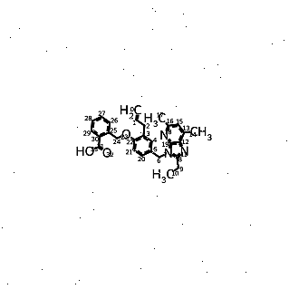 C=CCc1cc(Cn2c(CC)nc3c(C)cc(C)nc32)ccc1OCc1ccccc1C(=O)O